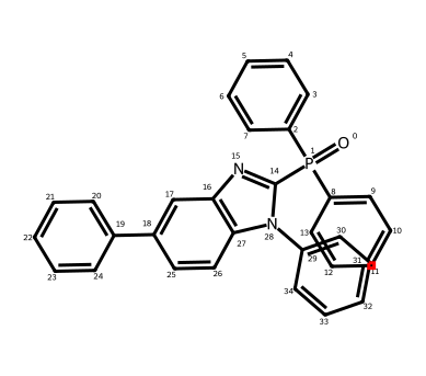 O=P(c1ccccc1)(c1ccccc1)c1nc2cc(-c3ccccc3)ccc2n1-c1ccccc1